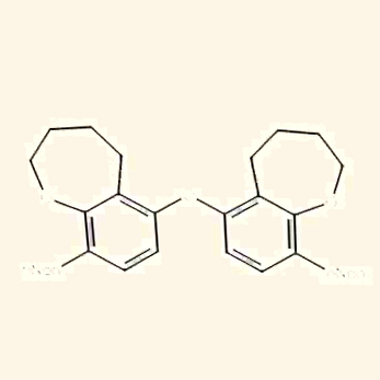 CCCCCCCCCc1ccc(Oc2ccc(CCCCCCCCC)c3c2CCCCO3)c2c1OCCCC2